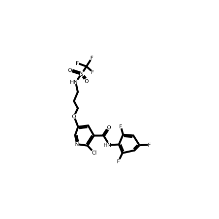 O=C(Nc1c(F)cc(F)cc1F)c1cc(OCCCNS(=O)(=O)C(F)(F)F)cnc1Cl